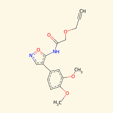 C#CCOCC(=O)Nc1oncc1-c1ccc(OC)c(OC)c1